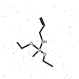 C=CCN[Si](C)(OCC)OCC